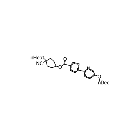 CCCCCCCCCCOc1ccc(-c2ccc(C(=O)OC3CCC(C#N)(CCCCCCC)CC3)cc2)nc1